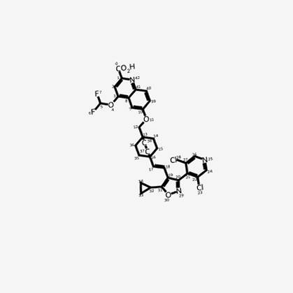 O=C(O)c1cc(OC(F)F)c2cc(OCC34CCC(C=Cc5c(-c6c(Cl)cncc6Cl)noc5C5CC5)(CC3)CC4)ccc2n1